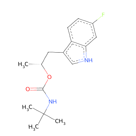 C[C@H](Cc1c[nH]c2cc(F)ccc12)OC(=O)NC(C)(C)C